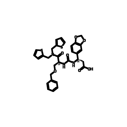 O=C(O)C[C@H](NC(=O)N[C@@H](COCc1ccccc1)C(=O)N(Cc1cccs1)Cc1cccs1)c1ccc2c(c1)OCO2